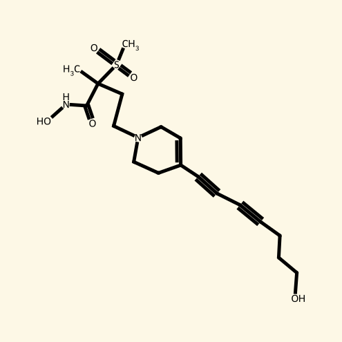 CC(CCN1CC=C(C#CC#CCCCO)CC1)(C(=O)NO)S(C)(=O)=O